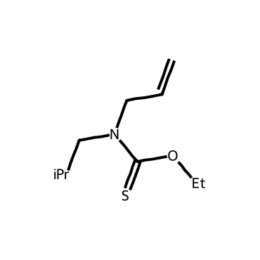 C=CCN(CC(C)C)C(=S)OCC